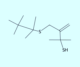 C=C(CSC(C)(C)C(C)(C)C)C(C)(C)S